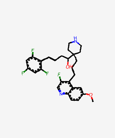 COc1ccc2ncc(F)c(CCCC3(C(O)CCCc4c(F)cc(F)cc4F)CCNCC3)c2c1